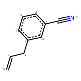 C=CCc1[c]ccc(C#N)c1